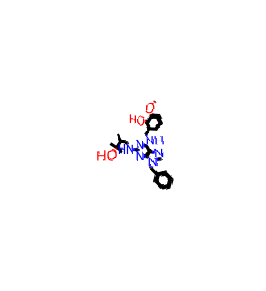 COc1cccc(CNc2nc(NCC(C)C(C)(C)O)nc3c2ncn3Cc2ccccc2)c1O